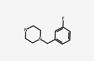 Fc1cccc(CN2CC[N]CC2)c1